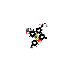 Cc1ccc(S(OS(=O)(=O)c2ccc(C)cc2)(c2ccc(OC(C)(C)C)cc2)c2ccc(OC(C)(C)C)cc2)cc1